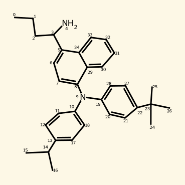 CCCC(N)c1ccc(N(c2ccc(C(C)C)cc2)c2ccc(C(C)(C)C)cc2)c2ccccc12